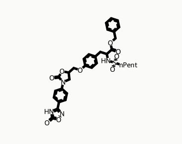 CCCCCS(=O)(=O)NC(Cc1ccc(OCC2CN(c3ccc(-c4noc(=O)[nH]4)cc3)C(=O)O2)cc1)C(=O)OCc1ccccc1